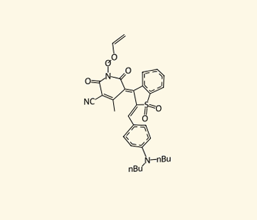 C=COON1C(=O)C(C#N)=C(C)/C(=C2\C(=C\c3ccc(N(CCCC)CCCC)cc3)S(=O)(=O)c3ccccc32)C1=O